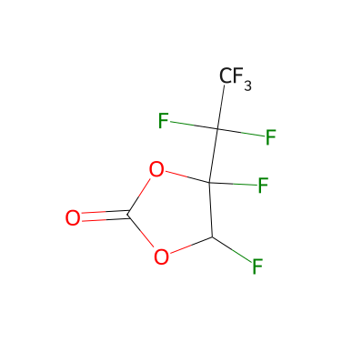 O=C1OC(F)C(F)(C(F)(F)C(F)(F)F)O1